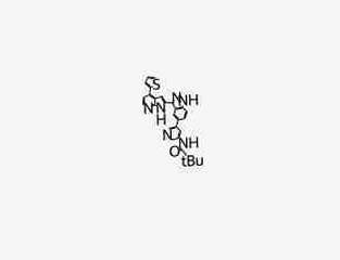 CC(C)(C)CC(=O)Nc1cncc(-c2ccc3[nH]nc(-c4cc5c(-c6cccs6)ccnc5[nH]4)c3c2)c1